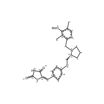 COc1c(C)cnc(CN2CCC[C@H]2COc2ccc(C=C3SC(=O)NC3=O)cc2)c1C